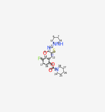 O=C1N=C(N2CCCCN2)S/C1=C/c1cc(F)ccc1OC(=O)N1CCCCC1